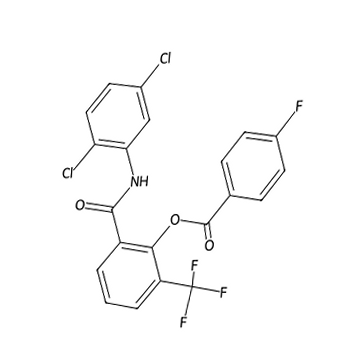 O=C(Oc1c(C(=O)Nc2cc(Cl)ccc2Cl)cccc1C(F)(F)F)c1ccc(F)cc1